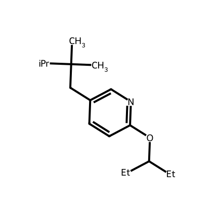 CCC(CC)Oc1ccc(CC(C)(C)C(C)C)cn1